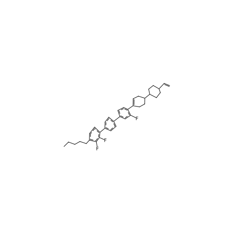 C=CC1CCC(C2CC=C(c3ccc(-c4ccc(-c5ccc(CCCCC)c(F)c5F)cc4)cc3F)CC2)CC1